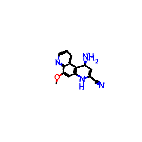 COc1cc2c(c3cccnc13)C(N)C=C(C#N)N2